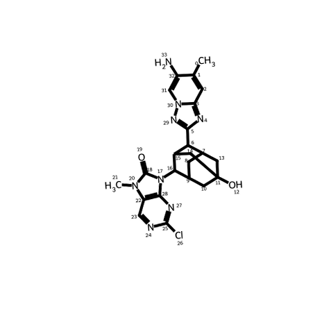 Cc1cc2nc(C3C4CC5CC(O)(C4)CC3C5n3c(=O)n(C)c4cnc(Cl)nc43)nn2cc1N